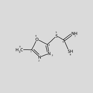 Cc1nnc(SC(=N)S)o1